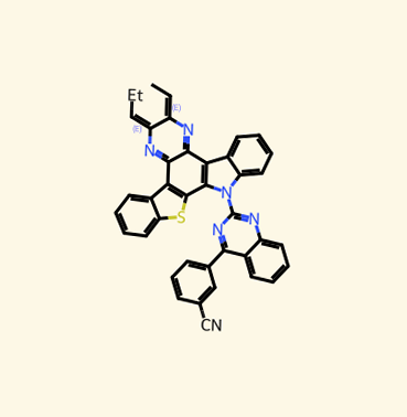 C/C=c1/nc2c(n/c1=C/CC)c1c3ccccc3sc1c1c2c2ccccc2n1-c1nc(-c2cccc(C#N)c2)c2ccccc2n1